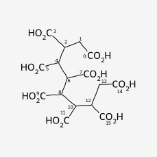 O=C(O)CC(C(=O)O)C(C(=O)O)C(C(=O)O)C(C(=O)O)C(C(=O)O)C(CC(=O)O)C(=O)O